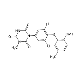 COc1ccc(C)cc1Sc1c(Cl)cc(-n2c(=O)[nH]c(=O)n(C)c2=O)cc1Cl